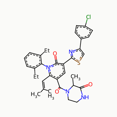 CCc1cccc(CC)c1-n1c(C=C(C)C)c(C(=O)N2CCNC(=O)C2C)cc(-c2nc(-c3ccc(Cl)cc3)cs2)c1=O